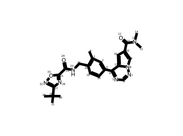 Cc1cc(-c2ncnn3cc(C(=O)N(C)C)cc23)ccc1CNC(=O)c1nc(C(C)(C)C)no1